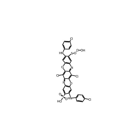 O=S(=O)(O)c1cc2c(cc1Nc1ccc(Cl)cc1)Oc1c(Cl)c3c(c(Cl)c1=N2)Oc1cc(Nc2ccc(Cl)cc2)c(SOOO)cc1N=3